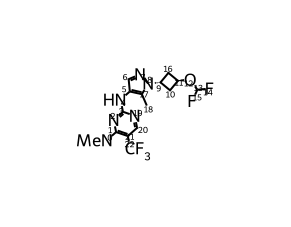 CNc1nc(Nc2cnn([C@H]3C[C@H](OC(F)F)C3)c2C)ncc1C(F)(F)F